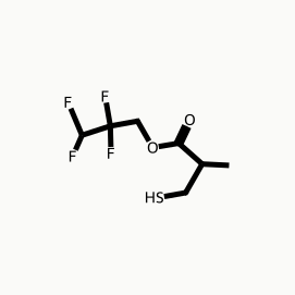 CC(CS)C(=O)OCC(F)(F)C(F)F